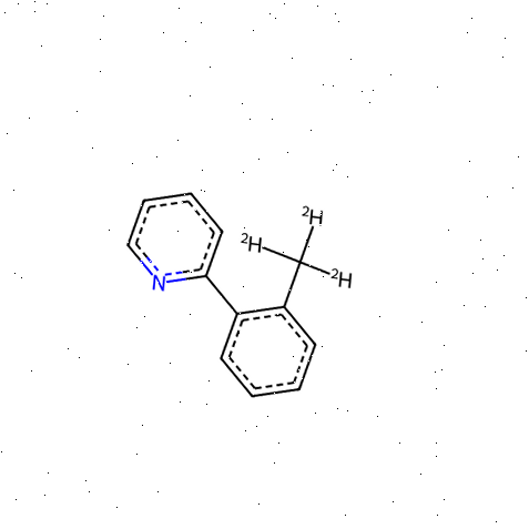 [2H]C([2H])([2H])c1ccccc1-c1ccccn1